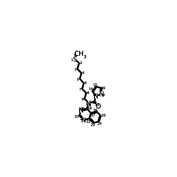 CSCCCCCCCCN(C(=O)n1cccn1)c1ncnc2ccccc12